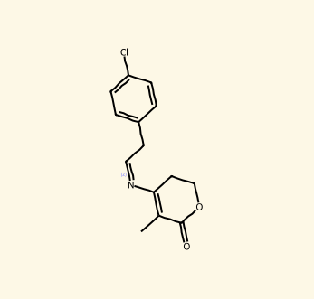 CC1=C(/N=C\Cc2ccc(Cl)cc2)CCOC1=O